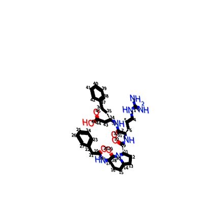 N=C(N)NCCC[C@H](NC(=O)[C@@H]1CCC2CCC(NC(=O)Cc3ccccc3)C(=O)N21)C(=O)N[C@@H](CCc1ccccc1)CC(=O)O